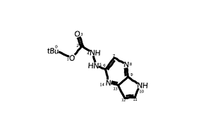 CC(C)(C)OC(=O)NNc1cnc2[nH]ccc2n1